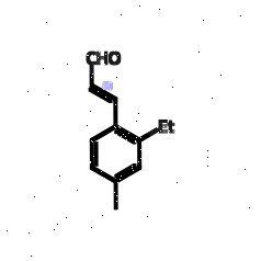 CCc1cc(C)ccc1/C=C/C=O